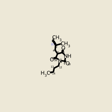 C/C=C(\C)CC1C(=O)NC(=O)N(CCCC)C1=O